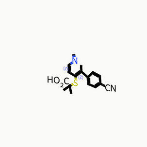 C=N/C=C\C(SC(C)(C)C(=O)O)=C(/C)c1ccc(C#N)cc1